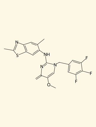 C=C1N=C(Nc2cc3sc(C)nc3cc2C)N(Cc2cc(F)c(F)c(F)c2)C=C1OC